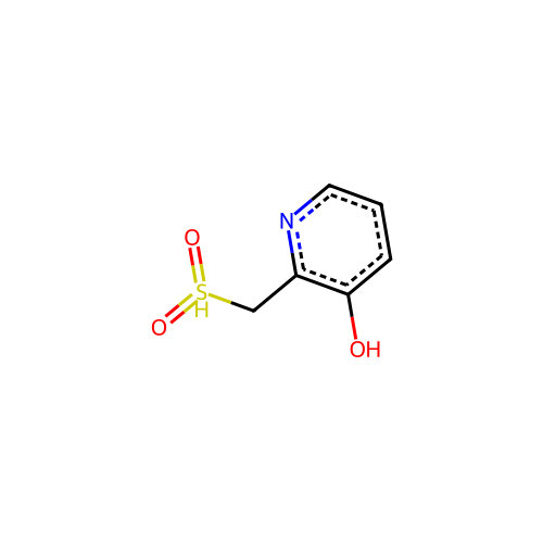 O=[SH](=O)Cc1ncccc1O